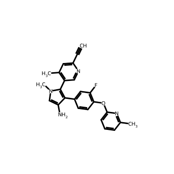 C#Cc1cc(C)c(-c2c(-c3ccc(Oc4cccc(C)n4)c(F)c3)c(N)cn2C)cn1